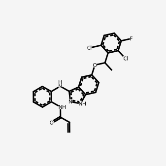 C=CC(=O)Nc1ccccc1Nc1n[nH]c2ccc(OC(C)c3c(Cl)ccc(F)c3Cl)cc12